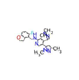 C=N/N=C\c1c(-c2cc(C)nn2C)cnc(NCc2c(F)ccc3c2CCO3)c1C